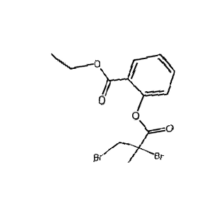 CCOC(=O)c1ccccc1OC(=O)C(C)(Br)CBr